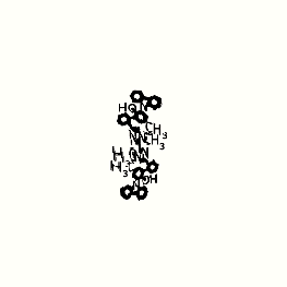 Cc1cc(-c2ccccc2-c2cn(C)c(-c3nc(-c4ccccc4-c4cc(C)cc(-n5c6ccccc6c6ccccc65)c4O)cn3C)n2)c(O)c(-n2c3ccccc3c3ccccc32)c1